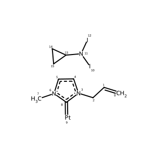 C=CCn1ccn(C)[c]1=[Pt].IN(I)C1CC1